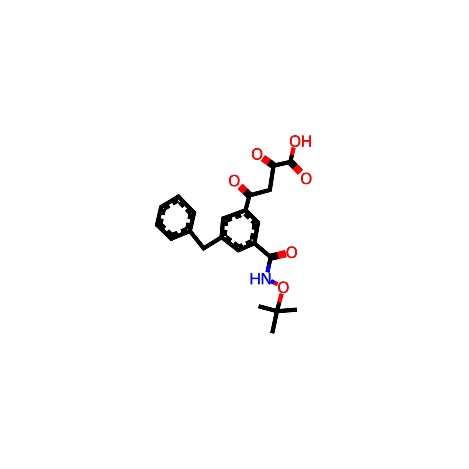 CC(C)(C)ONC(=O)c1cc(Cc2ccccc2)cc(C(=O)CC(=O)C(=O)O)c1